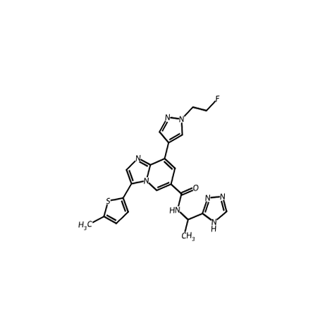 Cc1ccc(-c2cnc3c(-c4cnn(CCF)c4)cc(C(=O)NC(C)c4nnc[nH]4)cn23)s1